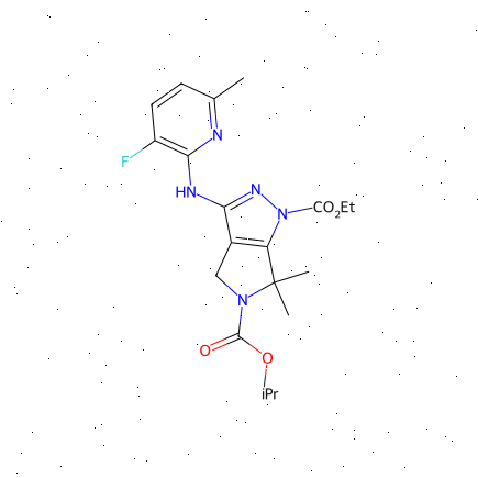 CCOC(=O)n1nc(Nc2nc(C)ccc2F)c2c1C(C)(C)N(C(=O)OC(C)C)C2